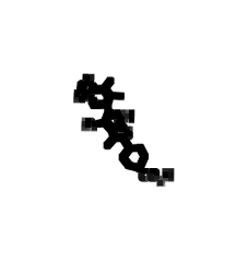 Cc1c(-c2[nH]c3sc(C4CCC(C(=O)O)CC4)c(C)c3c2C(C)C)cn2ncnc2c1C